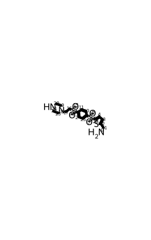 NCc1ccc(S(=O)(=O)c2ccc(S(=O)(=O)CCN3CCNCC3)cc2)s1